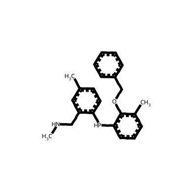 CNCc1cc(C)ccc1Pc1cccc(C)c1OCc1ccccc1